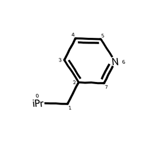 CC(C)Cc1cccnc1